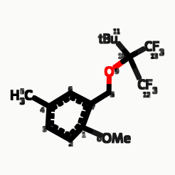 COc1ccc(C)cc1COC(C(C)(C)C)(C(F)(F)F)C(F)(F)F